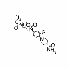 CC(=O)NCC1CN(c2ccc(N3CCC(C(N)=O)CC3)c(F)c2)C(=O)O1